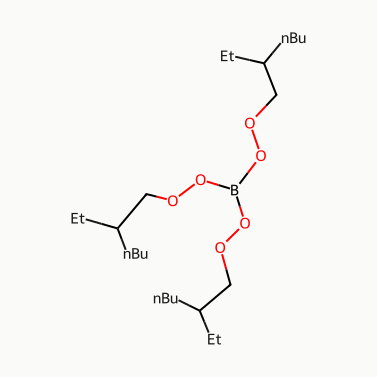 CCCCC(CC)COOB(OOCC(CC)CCCC)OOCC(CC)CCCC